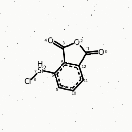 O=C1OC(=O)c2c([SiH2]Cl)cccc21